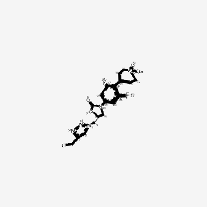 O=C1O[C@@H](Cn2cc(CCl)nn2)CN1c1cc(F)c(C2=CCS(=O)(=O)CC2)c(F)c1